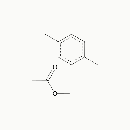 COC(C)=O.Cc1ccc(C)cc1